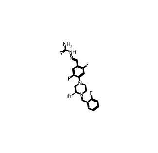 CC(C)[C@H]1CN(c2cc(F)c(C=NNC(N)=S)cc2F)CCN1Cc1ccccc1F